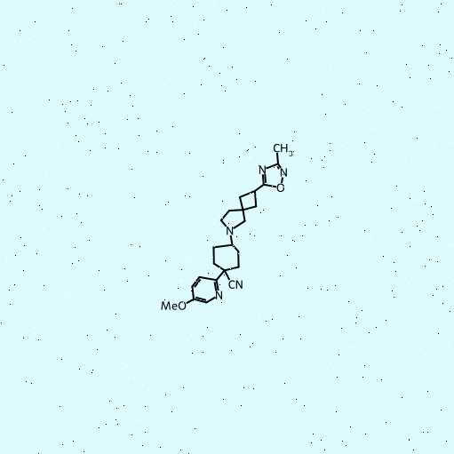 COc1ccc(C2(C#N)CCC(N3CCC4(CC(c5nc(C)no5)C4)C3)CC2)nc1